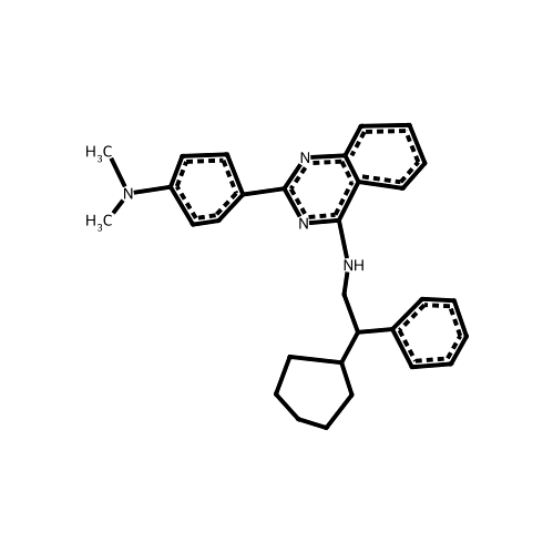 CN(C)c1ccc(-c2nc(NCC(c3ccccc3)C3CCCCC3)c3ccccc3n2)cc1